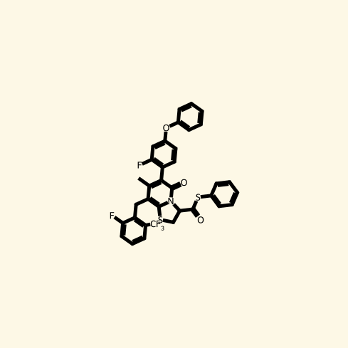 Cc1c(Cc2c(F)cccc2C(F)(F)F)c2n(c(=O)c1-c1ccc(Oc3ccccc3)cc1F)C(C(=O)Sc1ccccc1)CS2